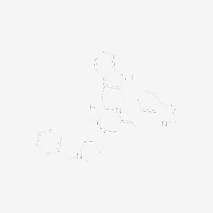 O=C1[C@H]2Cc3c([nH]c4ccccc34)[C@H](c3ccc4nsnc4c3)N2C(=O)CN1[C@@H]1CCN(Cc2ccccc2)C1